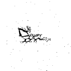 CCOc1ccccc1C(O)c1cc(Cl)ccc1N(CC(C)C)C(=O)C=CC(=O)O